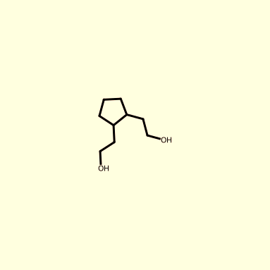 OCCC1CCCC1CCO